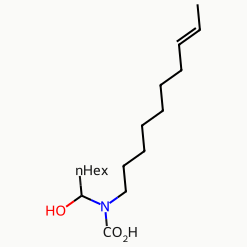 CC=CCCCCCCCN(C(=O)O)C(O)CCCCCC